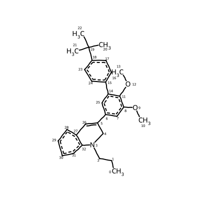 CCCN1CC(c2cc(OC)c(OC)c(-c3ccc(C(C)(C)C)cc3)c2)=Cc2ccccc21